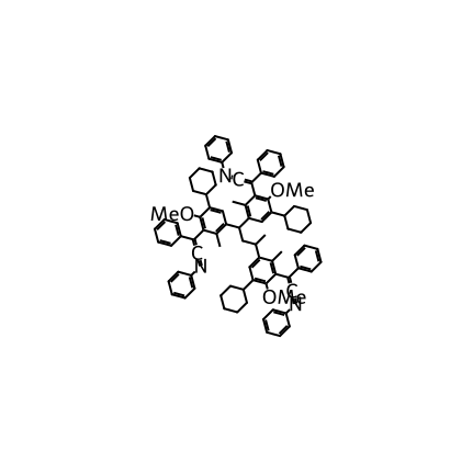 COc1c(C2CCCCC2)cc(C(C)CC(c2cc(C3CCCCC3)c(OC)c(C(=C=Nc3ccccc3)c3ccccc3)c2C)c2cc(C3CCCCC3)c(OC)c(C(=C=Nc3ccccc3)c3ccccc3)c2C)c(C)c1C(=C=Nc1ccccc1)c1ccccc1